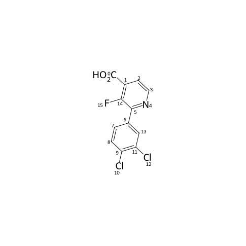 O=C(O)c1ccnc(-c2ccc(Cl)c(Cl)c2)c1F